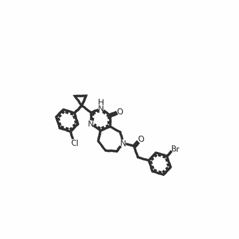 O=C(Cc1cccc(Br)c1)N1CCCc2nc(C3(c4cccc(Cl)c4)CC3)[nH]c(=O)c2C1